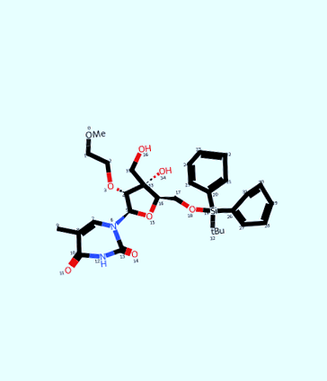 COCCO[C@H]1[C@H](n2cc(C)c(=O)[nH]c2=O)O[C@H](CO[Si](c2ccccc2)(c2ccccc2)C(C)(C)C)[C@]1(O)CO